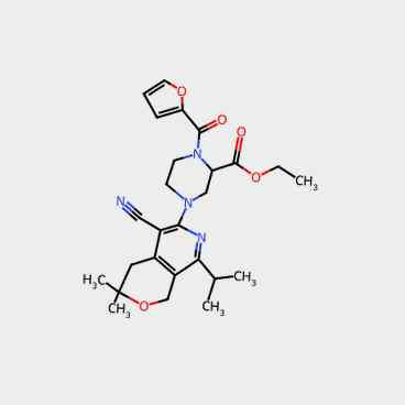 CCOC(=O)C1CN(c2nc(C(C)C)c3c(c2C#N)CC(C)(C)OC3)CCN1C(=O)c1ccco1